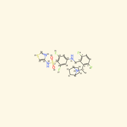 CC(c1c(F)ccc(F)c1CNc1cc(F)c(S(=O)(=O)Nc2cscn2)c(F)c1)N1C2CCC1CC2